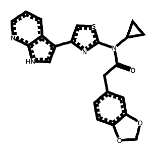 O=C(Cc1ccc2c(c1)OCO2)N(c1nc(-c2c[nH]c3ncccc23)cs1)C1CC1